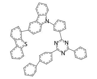 c1ccc(-c2ccc(-c3nc(-c4ccccc4)nc(-c4cccc(-n5c6ccccc6c6cc(-c7cccc8c7sc7ccccc78)ccc65)c4)n3)cc2)cc1